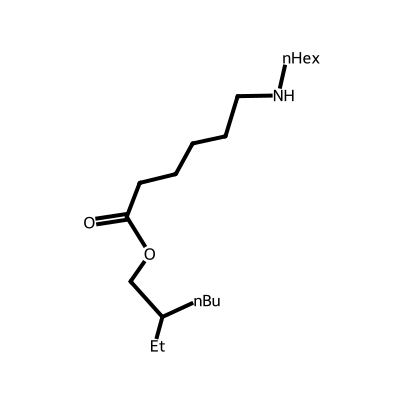 CCCCCCNCCCCCC(=O)OCC(CC)CCCC